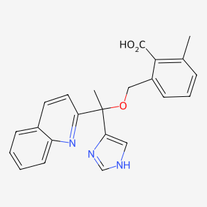 Cc1cccc(COC(C)(c2c[nH]cn2)c2ccc3ccccc3n2)c1C(=O)O